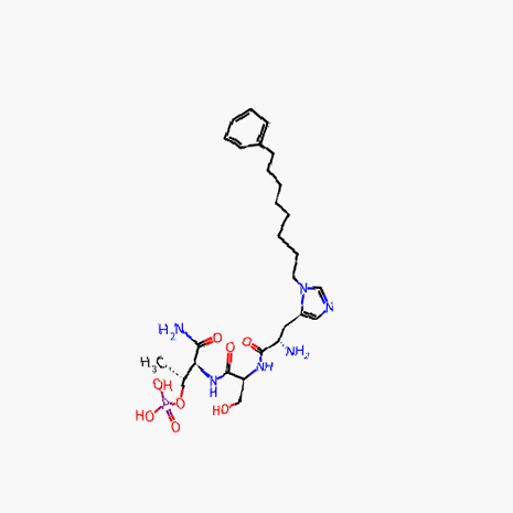 C[C@@H](OP(=O)(O)O)[C@H](NC(=O)[C@H](CO)NC(=O)[C@@H](N)Cc1cncn1CCCCCCCCc1ccccc1)C(N)=O